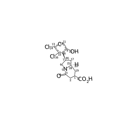 O=C(O)C1CC(=O)N2C[C@@H](c3c(O)ccc(Cl)c3Cl)C[C@H]2C1